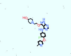 Cc1ccc(Oc2ccc(Nc3ncnc4[nH]nc(OCCN5CCC(O)CC5)c34)cc2F)cn1